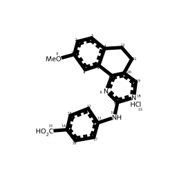 COc1ccc2c(c1)-c1nc(Nc3ccc(C(=O)O)cc3)ncc1CC2.Cl